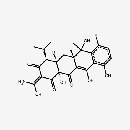 CN(C)[C@@H]1C(=O)/C(=C(\N)O)C(=O)[C@]2(O)C(=O)C3=C(O)c4c(O)ccc(F)c4C(C)(O)[C@H]3C[C@H]12